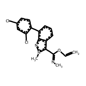 C=CO/C(=N\C)c1c2cccc(-c3ccc(Cl)cc3Cl)c2nn1C